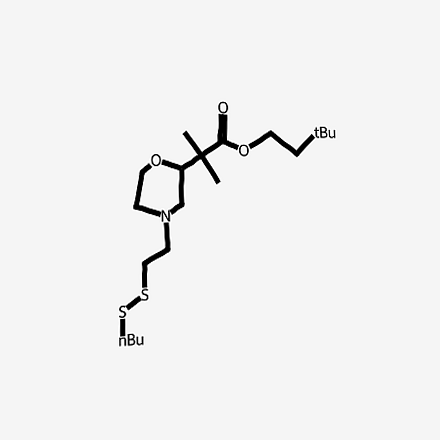 CCCCSSCCN1CCOC(C(C)(C)C(=O)OCCC(C)(C)C)C1